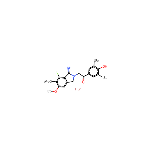 Br.CCOc1cc2c(c(F)c1OC)C(=N)N(CC(=O)c1cc(C(C)(C)C)c(O)c(C(C)(C)C)c1)C2